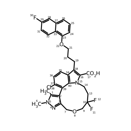 Cc1c2c(nn1C)COCC(F)(F)CCn1c(C(=O)O)c(CCCOc3cccc4cc(F)ccc34)c3ccc(Cl)c-2c31